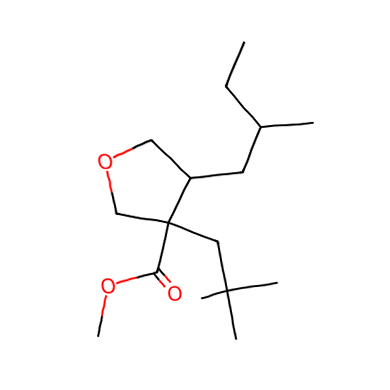 CCC(C)CC1COCC1(CC(C)(C)C)C(=O)OC